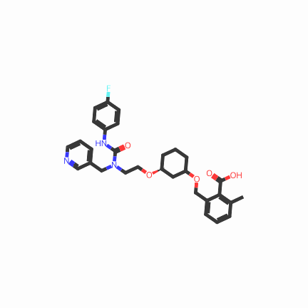 Cc1cccc(COC2CCC[C@H](OCCN(Cc3cccnc3)C(=O)Nc3ccc(F)cc3)C2)c1C(=O)O